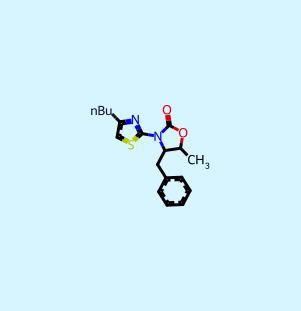 CCCCc1csc(N2C(=O)OC(C)C2Cc2ccccc2)n1